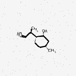 C[C@@H]1CC[C@H]([C@H](C)CO)[C@H](O)C1